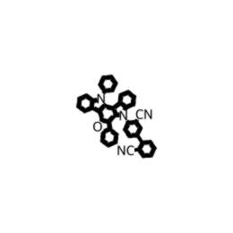 N#Cc1ccccc1-c1ccc(-n2c3ccccc3c3c4c(c5ccccc5n4-c4ccccc4)c4oc5ccccc5c4c32)c(C#N)c1